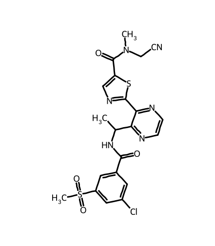 CC(NC(=O)c1cc(Cl)cc(S(C)(=O)=O)c1)c1nccnc1-c1ncc(C(=O)N(C)CC#N)s1